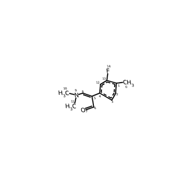 Cc1ccc(C(C=O)=CN(C)C)cc1F